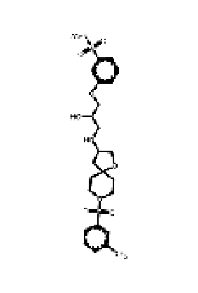 CNS(=O)(=O)c1cccc(OCC(O)CNC2COC3(CCN(S(=O)(=O)c4cccc(C(F)(F)F)c4)CC3)C2)c1